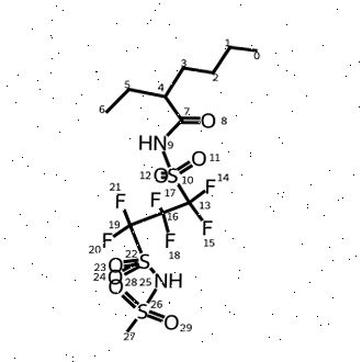 CCCCC(CC)C(=O)NS(=O)(=O)C(F)(F)C(F)(F)C(F)(F)S(=O)(=O)NS(C)(=O)=O